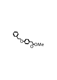 COC(=O)Cc1ccc(OCCc2ccccc2)cc1